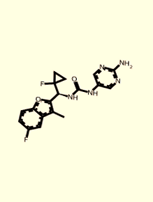 Cc1c([C@H](NC(=O)Nc2cnc(N)nc2)C2(F)CC2)oc2ccc(F)cc12